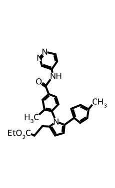 CCOC(=O)CCc1ccc(-c2ccc(C)cc2)n1-c1ccc(C(=O)Nc2ccnnc2)cc1C